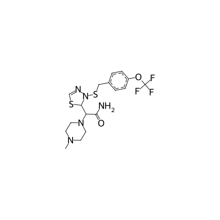 CN1CCN(C(C(N)=O)C2SC=NN2SCc2ccc(OC(F)(F)F)cc2)CC1